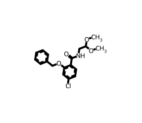 COC(CNC(=O)c1ccc(Cl)cc1OCc1ccccc1)OC